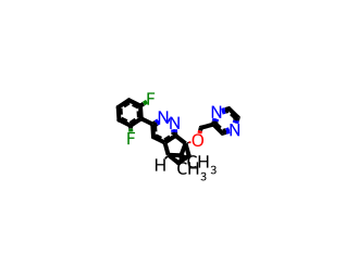 CC1(C)[C@H]2CC[C@]1(OCc1cnccn1)c1nnc(-c3c(F)cccc3F)cc12